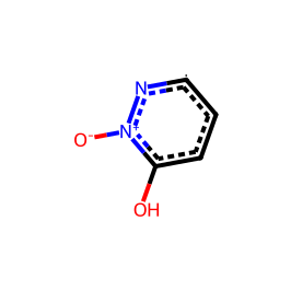 [O-][n+]1n[c]ccc1O